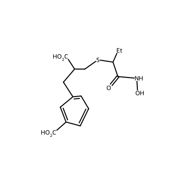 CCC(SCC(Cc1cccc(C(=O)O)c1)C(=O)O)C(=O)NO